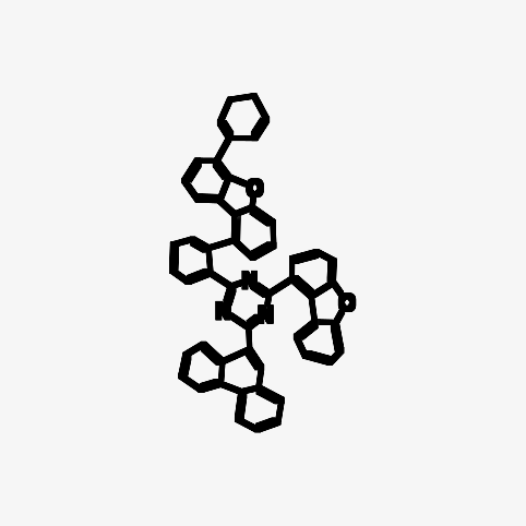 C1=CC(c2cccc3c2oc2cccc(-c4ccccc4-c4nc(-c5cc6ccccc6c6ccccc56)nc(-c5cccc6oc7ccccc7c56)n4)c23)=CCC1